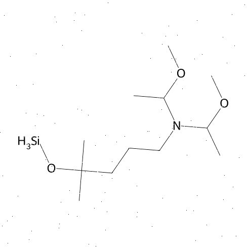 COC(C)N(CCCC(C)(C)O[SiH3])C(C)OC